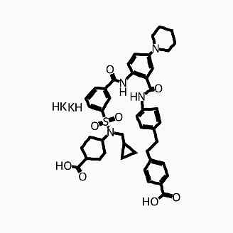 O=C(O)c1ccc(CCc2ccc(NC(=O)c3cc(N4CCCCC4)ccc3NC(=O)c3cccc(S(=O)(=O)N(CC4CC4)C4CCC(C(=O)O)CC4)c3)cc2)cc1.[KH].[KH]